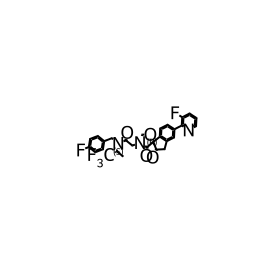 C[C@H](N(Cc1ccc(F)cc1)C(=O)CN1CO[C@]2(C(=O)Cc3cc(-c4ncccc4F)ccc32)C1=O)C(F)(F)F